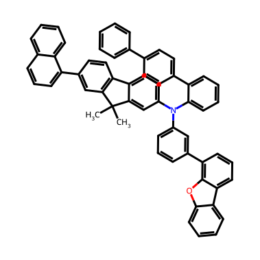 CC1(C)c2cc(-c3cccc4ccccc34)ccc2-c2ccc(N(c3cccc(-c4cccc5c4oc4ccccc45)c3)c3ccccc3-c3ccc(-c4ccccc4)cc3)cc21